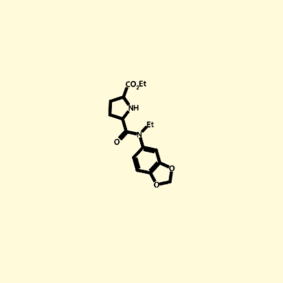 CCOC(=O)C1CCC(C(=O)N(CC)c2ccc3c(c2)OCO3)N1